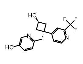 Oc1ccc(C[C@]2(c3ccnc(C(F)(F)F)c3)C[C@@H](O)C2)nc1